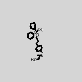 CC(C)(CO)Oc1ccc(CCCO[Si](c2ccccc2)(c2ccccc2)C(C)(C)C)cc1